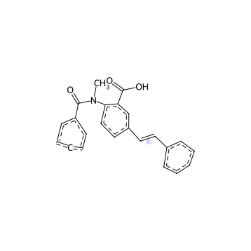 CN(C(=O)c1ccccc1)c1ccc(/C=C/c2ccccc2)cc1C(=O)O